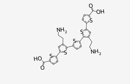 NCCc1cc(-c2ccc(C(=O)O)s2)sc1-c1ccc(-c2sc(-c3ccc(C(=O)O)s3)cc2CCN)s1